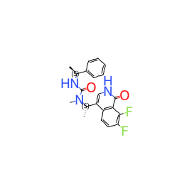 C[C@H](NC(=O)N(C)[C@@H](C)c1c[nH]c(=O)c2c(F)c(F)ccc12)c1ccccc1